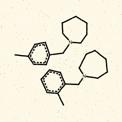 Cc1ccc(CN2CCCCCC2)cc1.Cc1ccccc1CN1CCCCCC1